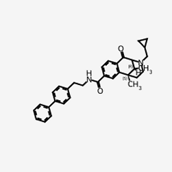 C[C@H]1C2C(=O)c3ccc(C(=O)NCCc4ccc(-c5ccccc5)cc4)cc3[C@@]1(C)CCN2CC1CC1